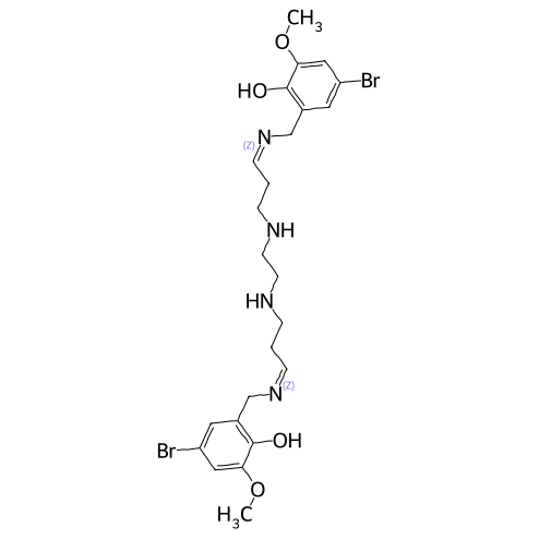 COc1cc(Br)cc(C/N=C\CCNCCNCC/C=N\Cc2cc(Br)cc(OC)c2O)c1O